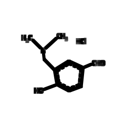 CN(C)Cc1cc(C=O)ccc1O.Cl